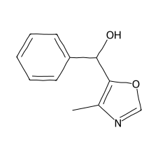 Cc1ncoc1C(O)c1ccccc1